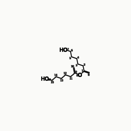 C=C(CCCCCO)OC(=C)CCCCCO